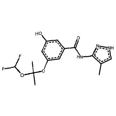 Cc1c[nH]nc1NC(=O)c1cc(O)cc(OC(C)(C)OC(F)F)c1